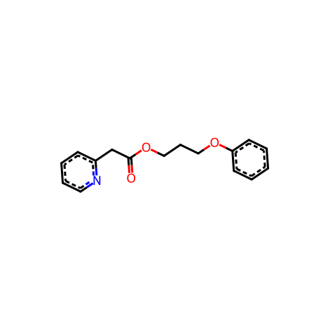 O=C(Cc1ccccn1)OCCCOc1ccccc1